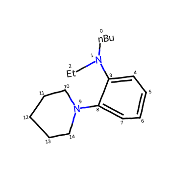 CCCCN(CC)c1ccccc1N1CCCCC1